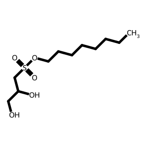 CCCCCCCCOS(=O)(=O)CC(O)CO